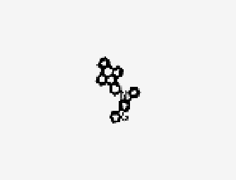 c1ccc2c(c1)sc1cc3c4ccccc4n(-c4ccc5c(c4)c4cccc6c7ccccc7c7cccc5c7c64)c3cc12